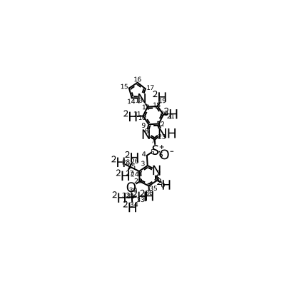 [2H]c1nc(C[S+]([O-])c2nc3c([2H])c(-n4cccc4)c([2H])c([2H])c3[nH]2)c(C([2H])([2H])[2H])c(OC([2H])([2H])[2H])c1[2H]